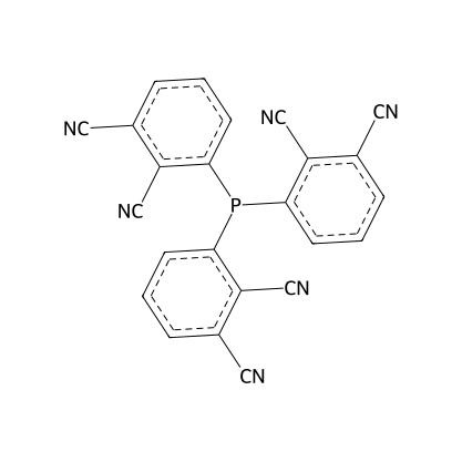 N#Cc1cccc(P(c2cccc(C#N)c2C#N)c2cccc(C#N)c2C#N)c1C#N